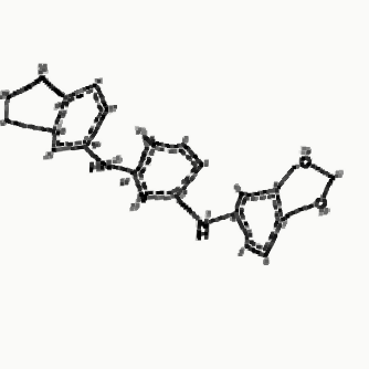 c1cc(Nc2ccc3c(c2)OCO3)nc(Nc2ccc3c(c2)CCC3)n1